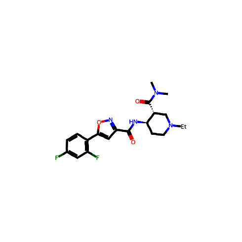 CCN1CC[C@@H](NC(=O)c2cc(-c3ccc(F)cc3F)on2)[C@H](C(=O)N(C)C)C1